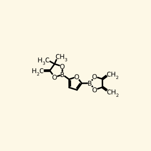 C=C1OB(c2ccc(B3OC(=C)C(C)(C)O3)o2)OC1=C